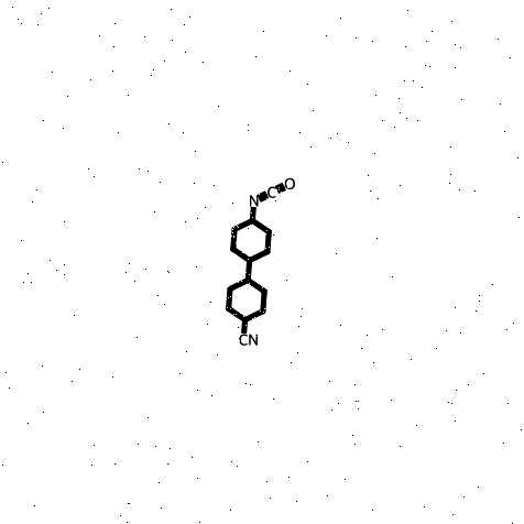 N#CC1CCC(C2CCC(N=C=O)CC2)CC1